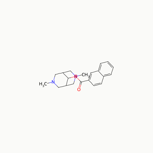 CN1CC2CN(C)CC(C1)C2OC(=O)c1ccc2ccccc2c1